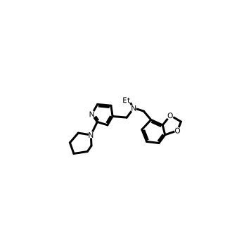 CCN(Cc1ccnc(N2CCCCC2)c1)Cc1cccc2c1OCO2